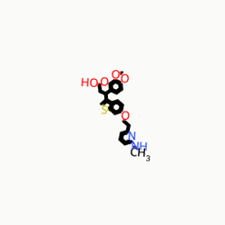 CNc1cccc(CCOc2ccc3c(C(CC(=O)O)c4ccc5c(c4)OCO5)csc3c2)n1